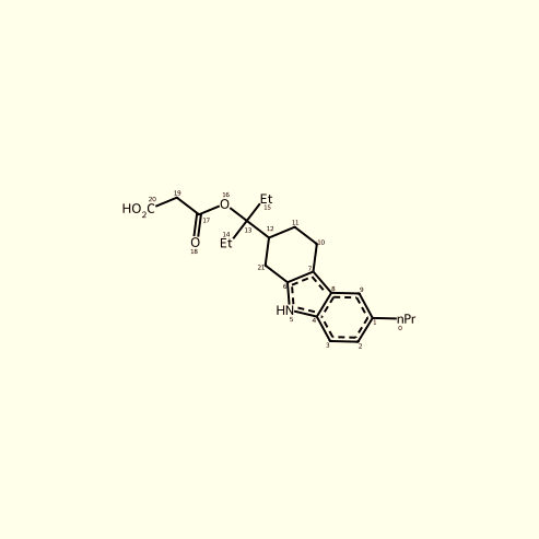 CCCc1ccc2[nH]c3c(c2c1)CCC(C(CC)(CC)OC(=O)CC(=O)O)C3